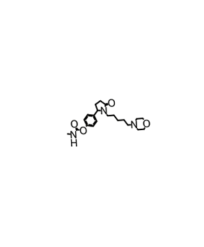 CNC(=O)Oc1ccc(C2CCC(=O)N2CCCCCN2CCOCC2)cc1